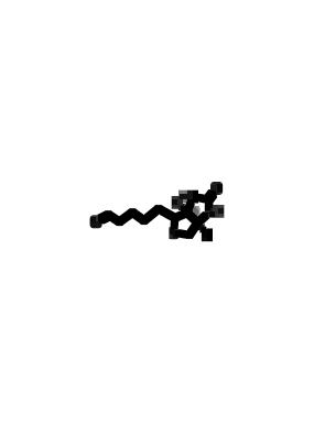 O=CCCCCC1SC[C@@H]2NC(=O)N[C@H]12